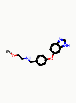 CC(C)OCCNCc1ccc(Oc2ccc3nc[nH]c3c2)cc1